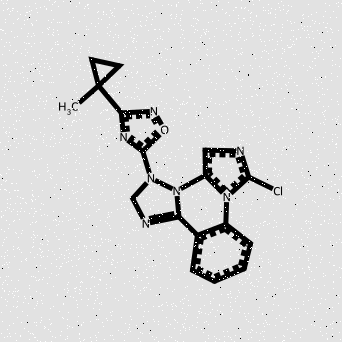 CC1(c2noc(N3CN=C4c5ccccc5-n5c(cnc5Cl)N43)n2)CC1